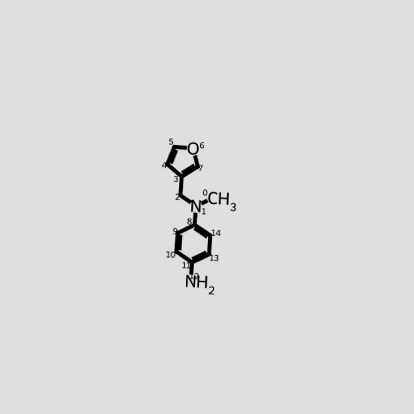 CN(Cc1ccoc1)c1ccc(N)cc1